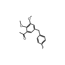 COc1cc(Cc2ccc(F)cc2)cc(C(C)=O)c1OC